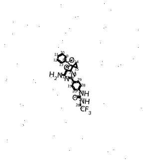 Nc1cc(C2(S(=O)(=O)c3ccccc3)CC2)nc(-c2ccc(NC(=O)NCC(F)(F)F)cc2)n1